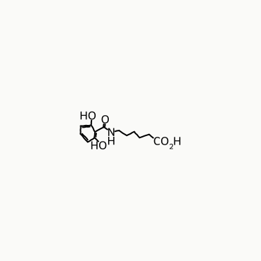 O=C(O)CCCCCNC(=O)c1c(O)cccc1O